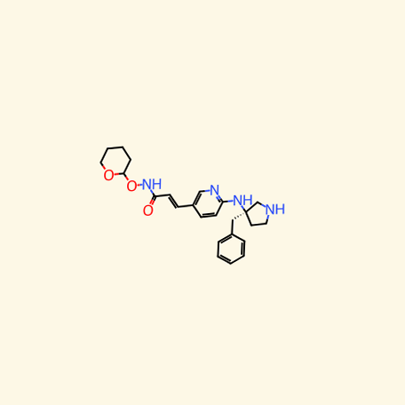 O=C(/C=C/c1ccc(N[C@]2(Cc3ccccc3)CCNC2)nc1)NOC1CCCCO1